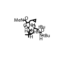 CNC(=O)C(=O)C(CC1CC1)NC(=O)[C@@H]1[C@@H]2[C@H](CN1C(=O)[C@@H](NC(=O)NC(C)(C)C)C(C)(C)C)C2(C)C